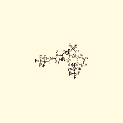 CC(C(=O)NCC(F)(F)C(F)(F)F)C(=O)N[C@H]1CN(S(=O)(=O)C(F)(F)F)c2ccccc2N(CC(F)(F)F)C1=O